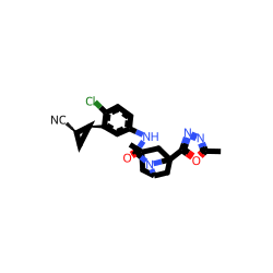 Cc1nnc(C23CC(C)CC(C2)N3C(=O)Nc2ccc(Cl)c([C@H]3C[C@H]3C#N)c2)o1